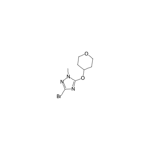 Cn1nc(Br)nc1OC1CCOCC1